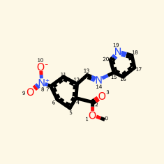 COC(=O)c1ccc([N+](=O)[O-])cc1C=Nc1cccnc1